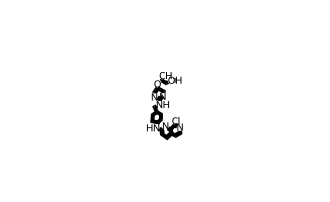 CC(CO)Oc1cnc(NCC2CCC(Nc3ccc4ccnc(Cl)c4n3)CC2)nc1